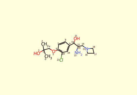 CC(C)(O)COc1ccc(C(O)[C@H](N)CN2CCC2)cc1Cl